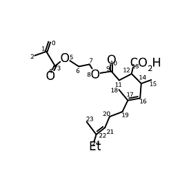 C=C(C)C(=O)OCCOC(=O)CC(C(=O)O)C(C)/C=C(\C)CC/C=C(\C)CC